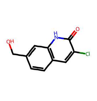 O=c1[nH]c2cc(CO)ccc2cc1Cl